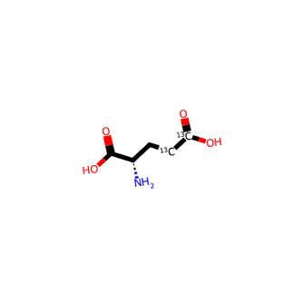 N[C@@H](C[13CH2][13C](=O)O)C(=O)O